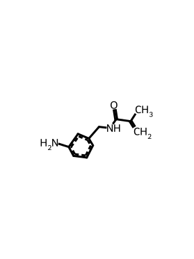 C=C(C)C(=O)NCc1cccc(N)c1